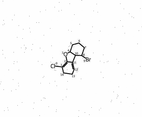 ClC1=C2OC3CCCC(Br)C3C2=CCC1